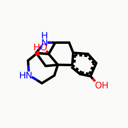 Oc1ccc2c(c1)C13CCNCCC1(O)C(C2)NCC3